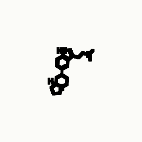 CN(C)CCc1c[nH]c2ccc([C@@H]3CCN4CCC[C@H]4C3)cc12